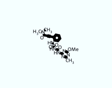 COc1nc(C)nc(NC(=O)NS(=O)(=O)Nc2ccccc2C#CC(=O)N(C)C)n1